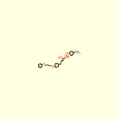 Cc1ccc(S(=O)(=O)OC[C@@H](O)C=CCc2ccc(OCCCCOc3ccccc3)cc2)cc1